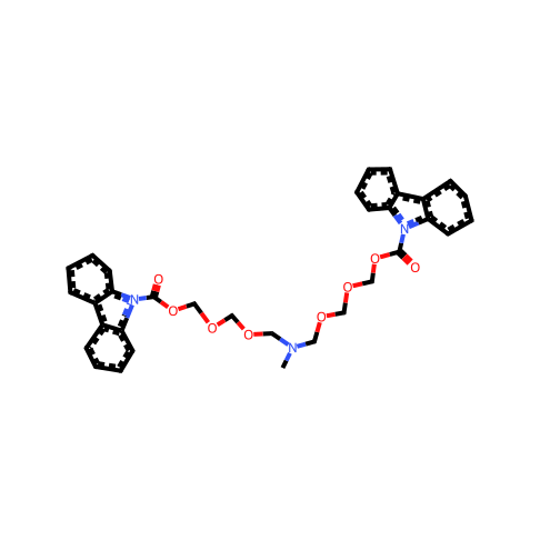 CN(COCOCOC(=O)n1c2ccccc2c2ccccc21)COCOCOC(=O)n1c2ccccc2c2ccccc21